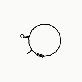 CC1C#CCCCCCCCCCCC(=O)C1